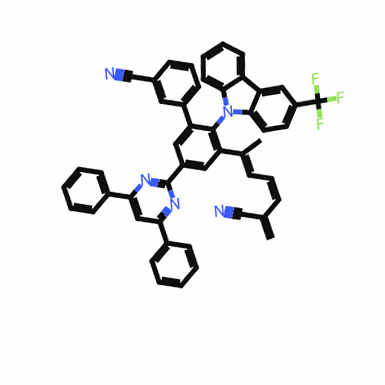 C=C(C#N)/C=C\C=C(/C)c1cc(-c2nc(-c3ccccc3)cc(-c3ccccc3)n2)cc(-c2cccc(C#N)c2)c1-n1c2ccccc2c2cc(C(F)(F)F)ccc21